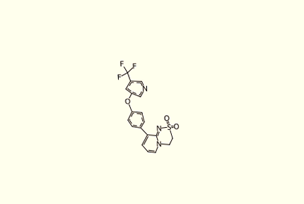 O=S1(=O)CCN2C=CC=C(c3ccc(Oc4cncc(C(F)(F)F)c4)cc3)C2=N1